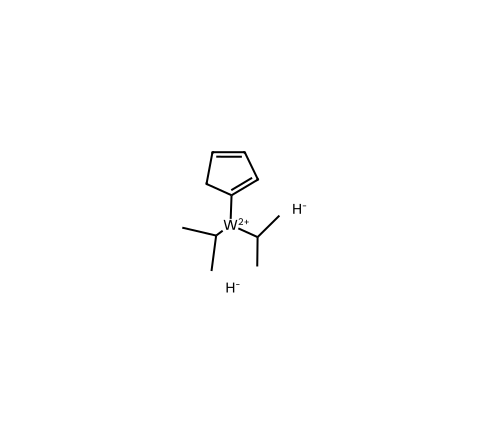 C[CH](C)[W+2]([C]1=CC=CC1)[CH](C)C.[H-].[H-]